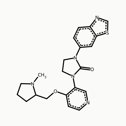 CN1CCCC1COc1ccncc1N1CCN(c2ccc3ncsc3c2)C1=O